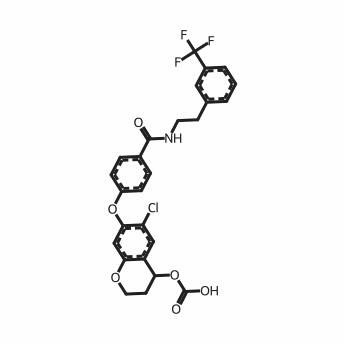 O=C(O)OC1CCOc2cc(Oc3ccc(C(=O)NCCc4cccc(C(F)(F)F)c4)cc3)c(Cl)cc21